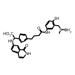 BN(C)Cc1cc(NC(=O)CCCc2ccc(C(Nc3ccc4cc[nH]c(=O)c4c3)C(=O)O)cc2)ccc1S